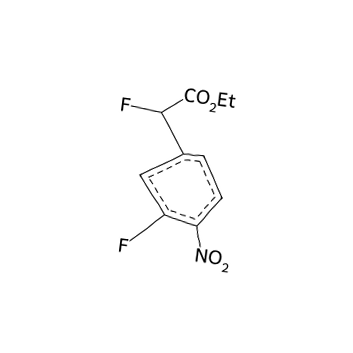 CCOC(=O)C(F)c1ccc([N+](=O)[O-])c(F)c1